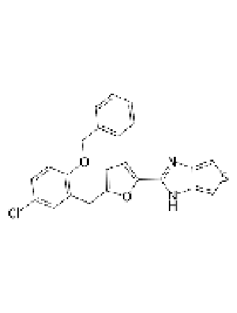 Clc1ccc(OCc2ccccc2)c(Cc2ccc(-c3nc4cscc4[nH]3)o2)c1